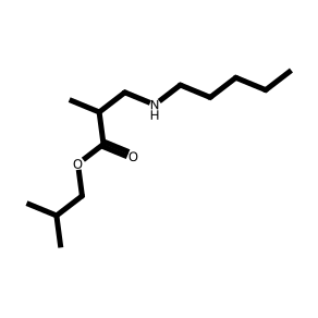 CCCCCNCC(C)C(=O)OCC(C)C